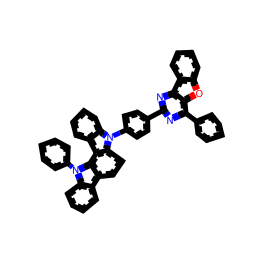 c1ccc(-c2nc(-c3ccc(-n4c5ccccc5c5c4ccc4c6ccccc6n(-c6ccccc6)c45)cc3)nc3c2oc2ccccc23)cc1